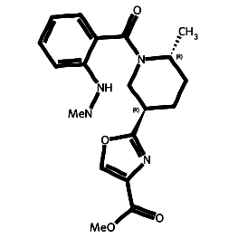 CNNc1ccccc1C(=O)N1C[C@H](c2nc(C(=O)OC)co2)CC[C@H]1C